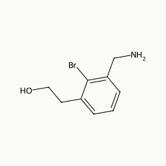 NCc1cccc(CCO)c1Br